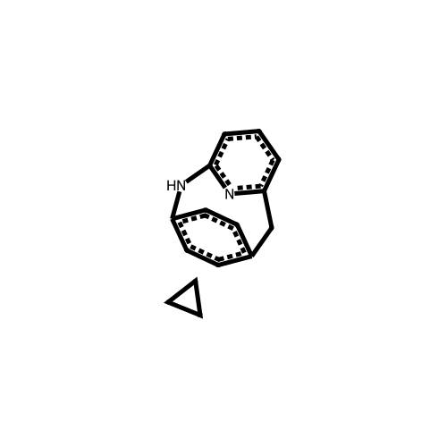 C1CC1.c1cc2nc(c1)Nc1ccc(cc1)C2